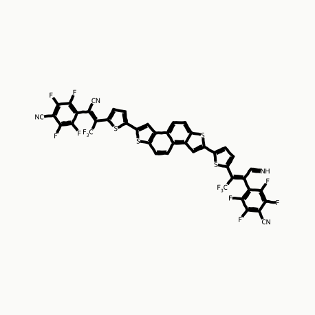 N#C/C(=C(\c1ccc(-c2cc3c(ccc4c5cc(-c6ccc(/C(=C(\C=N)c7c(F)c(F)c(C#N)c(F)c7F)C(F)(F)F)s6)sc5ccc34)s2)s1)C(F)(F)F)c1c(F)c(F)c(C#N)c(F)c1F